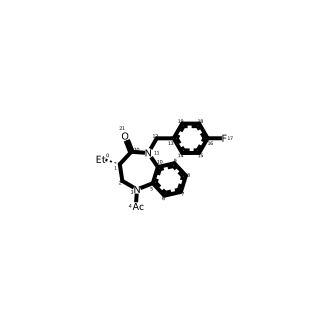 CC[C@H]1CN(C(C)=O)c2ccccc2N(Cc2ccc(F)cc2)C1=O